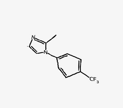 Cc1n[c]cn1-c1ccc(C(F)(F)F)cc1